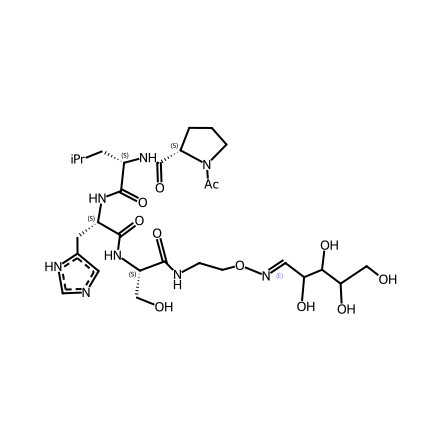 CC(=O)N1CCC[C@H]1C(=O)N[C@@H](CC(C)C)C(=O)N[C@@H](Cc1cnc[nH]1)C(=O)N[C@@H](CO)C(=O)NCCO/N=C/C(O)C(O)C(O)CO